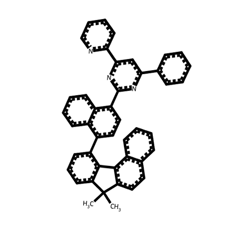 CC1(C)c2cccc(-c3ccc(-c4nc(-c5ccccc5)cc(-c5ccccn5)n4)c4ccccc34)c2-c2c1ccc1ccccc21